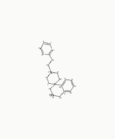 c1ccc(CCN2CCC3(CC2)CNCc2ccccc23)cc1